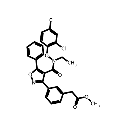 CCN(Oc1ccc(Cl)cc1Cl)C(=O)c1c(-c2cccc(CC(=O)OC)c2)noc1-c1ccccc1